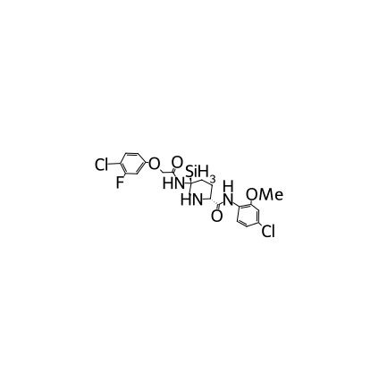 COc1cc(Cl)ccc1NC(=O)[C@H]1CC[C@@]([SiH3])(NC(=O)COc2ccc(Cl)c(F)c2)CN1